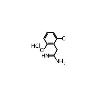 Cl.N=C(N)Cc1c(Cl)cccc1Cl